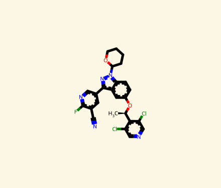 C[C@@H](Oc1ccc2c(c1)c(-c1cnc(F)c(C#N)c1)nn2C1CCCCO1)c1c(Cl)cncc1Cl